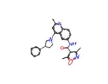 Cc1cc(N2CCC(c3ccccc3)C2)c2cc(NC(=O)c3c(C)noc3C)ccc2n1